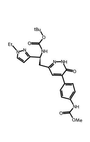 CCn1ccc([C@H](Cc2cc(-c3ccc(NC(=O)OC)cc3)c(=O)[nH]n2)NC(=O)OC(C)(C)C)n1